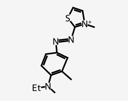 CCN(C)c1ccc(N=Nc2scc[n+]2C)cc1C